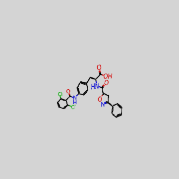 O=C(Nc1ccc(CC(NC(=O)C2CC(c3ccccc3)=NO2)C(=O)O)cc1)c1c(Cl)cccc1Cl